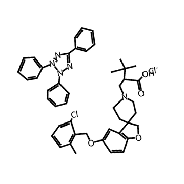 Cc1cccc(Cl)c1COc1ccc2c(c1)C1(CCN(CC(C(=O)O)C(C)(C)C)CC1)CO2.[Cl-].c1ccc(-c2nn(-c3ccccc3)[n+](-c3ccccc3)n2)cc1